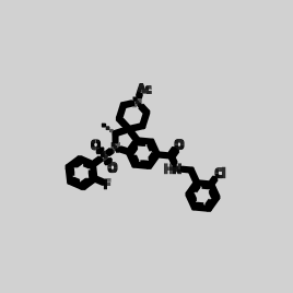 CC(=O)N1CCC2(CC1)c1cc(C(=O)NCc3ccccc3Cl)ccc1N(S(=O)(=O)c1ccccc1F)[C@@H]2C